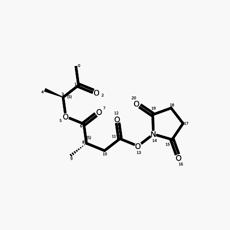 CC(=O)[C@H](C)OC(=O)[C@@H](C)CC(=O)ON1C(=O)CCC1=O